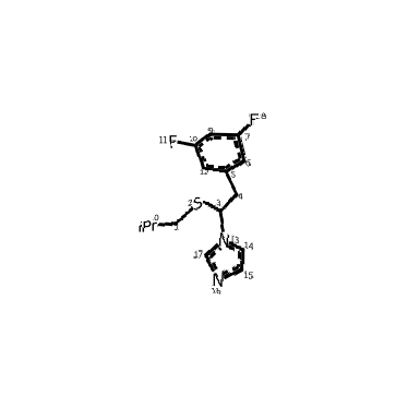 CC(C)CSC(Cc1cc(F)cc(F)c1)n1ccnc1